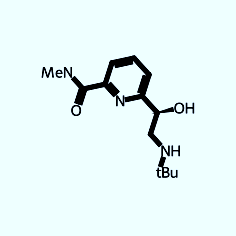 CNC(=O)c1cccc([C@@H](O)CNC(C)(C)C)n1